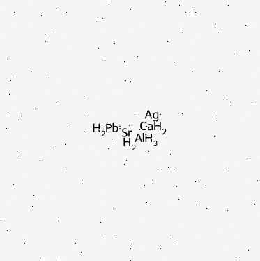 [Ag].[AlH3].[CaH2].[PbH2].[SrH2]